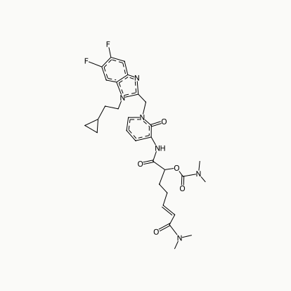 CN(C)C(=O)C=CCCC(OC(=O)N(C)C)C(=O)Nc1cccn(Cc2nc3cc(F)c(F)cc3n2CCC2CC2)c1=O